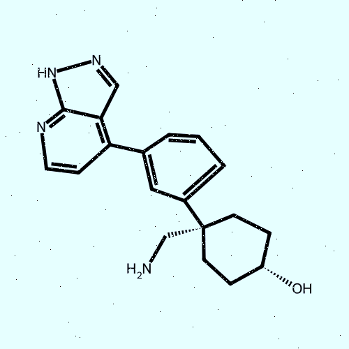 NC[C@]1(c2cccc(-c3ccnc4[nH]ncc34)c2)CC[C@H](O)CC1